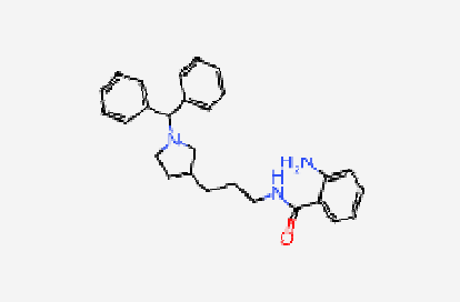 Nc1ccccc1C(=O)NCCCC1CCN(C(c2ccccc2)c2ccccc2)C1